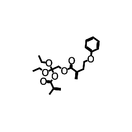 C=C(C)C(=O)OC(COC(=O)C(=C)CCOc1ccccc1)(OCC)OCC